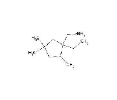 BCC1(CC)CC(C)(C)CC1C